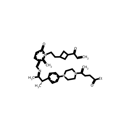 C=CC(=O)C1CC(CCn2c(=O)cc/c(=C/N=C(\C)[C@@H](C)c3ccc(N4CCN(C(=C)CCC(=O)CC)CC4)cc3)c2=C)C1